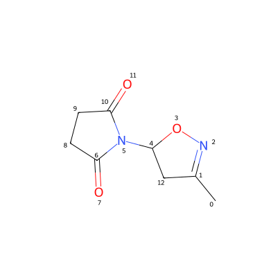 CC1=NOC(N2C(=O)CCC2=O)C1